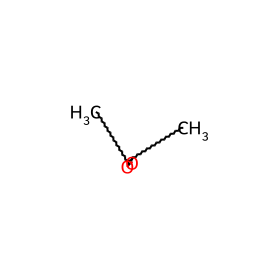 CCCCCCCCCCCCCCCCCCCCCC=C1OC(=O)C1CCCCCCCCCCCCCCCCCCCCC